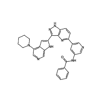 O=C(Nc1cncc(-c2ccc3[nH]nc(-c4cc5c(N6CCCCC6)cncc5[nH]4)c3n2)c1)c1ccccc1